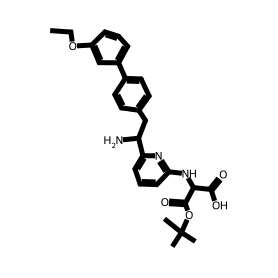 CCOc1cccc(-c2ccc(CC(N)c3cccc(NC(C(=O)O)C(=O)OC(C)(C)C)n3)cc2)c1